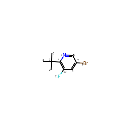 CC(C)(C)c1ncc(Br)cc1F